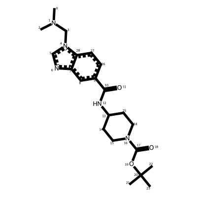 CN(C)Cn1cnc2cc(C(=O)NC3CCN(C(=O)OC(C)(C)C)CC3)ccc21